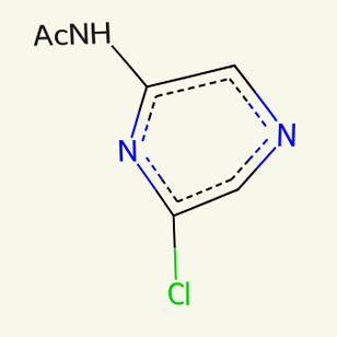 CC(=O)Nc1cncc(Cl)n1